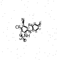 CS(=O)(=O)Nc1cc(Cl)c(C#N)cc1Sc1ccc(F)cc1F